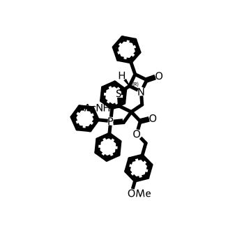 COc1ccc(COC(=O)C2(C=P(c3ccccc3)(c3ccccc3)c3ccccc3)CN3C(=O)C(c4ccccc4)[C@H]3SC2NC(C)=O)cc1